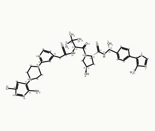 Cc1ncsc1-c1ccc([C@@H](C)NC(=O)[C@@H]2C[C@@H](O)CN2C(=O)[C@@H](NC(=O)Cc2ccnc(N3CCN(c4cc(Cl)nnc4N)CC3)c2)C(C)(C)C)cc1